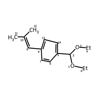 CCOC(OCC)c1ccc(C=C(C)C)cc1